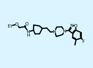 CCOCC(=O)NC1CCC(CCN2CCN(c3noc4cc(F)c(C)cc34)CC2)CC1